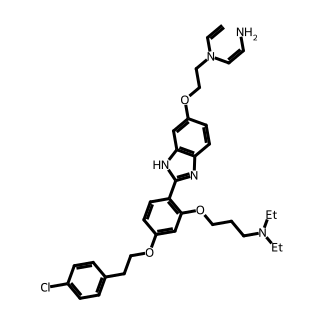 C=CN(/C=C\N)CCOc1ccc2nc(-c3ccc(OCCc4ccc(Cl)cc4)cc3OCCCN(CC)CC)[nH]c2c1